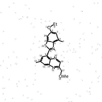 CCOc1cc(C)c2nc(-c3cc(C)cc4nc(COC)cnc34)sc2c1